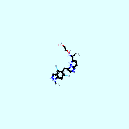 CC(=NOCCO)c1ccc2ncc(Cc3c(F)cc4c(cnn4C)c3F)n2n1